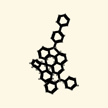 c1ccc(-c2ccc(-n3c4cccc5c4c4c6c(cc(N(c7ccccc7)c7ccccc7)cc6ccc43)C53c4ccccc4-c4ccccc43)cc2)cc1